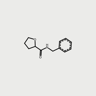 O=C(NCc1ccccc1)C1CCCO1